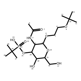 CC(=O)NC1C(OCCOC(C)(C)C)OC(CO)C(O)C1OP(=O)(O)C(C)(C)C